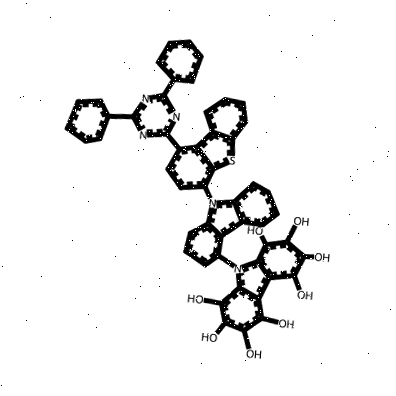 Oc1c(O)c(O)c2c(c1O)c1c(O)c(O)c(O)c(O)c1n2-c1cccc2c1c1ccccc1n2-c1ccc(-c2nc(-c3ccccc3)nc(-c3ccccc3)n2)c2c1sc1ccccc12